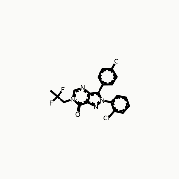 CC(F)(F)Cn1cnc2c(-c3ccc(Cl)cc3)n(-c3ccccc3Cl)nc2c1=O